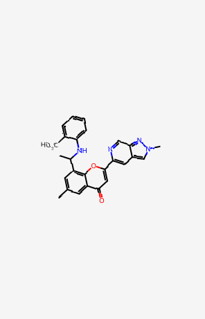 Cc1cc(C(C)Nc2ccccc2C(=O)O)c2oc(-c3cc4cn(C)nc4cn3)cc(=O)c2c1